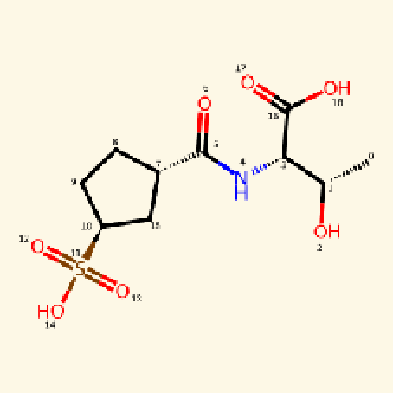 C[C@H](O)[C@H](NC(=O)[C@H]1CC[C@H](S(=O)(=O)O)C1)C(=O)O